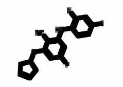 N#Cc1c(Nc2ccc(I)cc2F)cc(F)cc1OC1CC=CC1